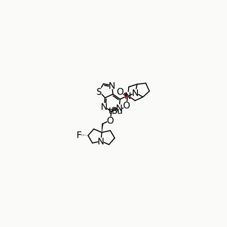 CC(C)(C)OC(=O)N1C2CCC1CN(c1nc(OC[C@@]34CCCN3C[C@H](F)C4)nc3scnc13)C2